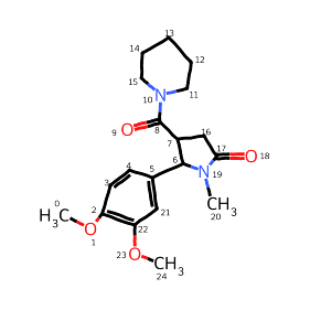 COc1ccc(C2C(C(=O)N3CCCCC3)CC(=O)N2C)cc1OC